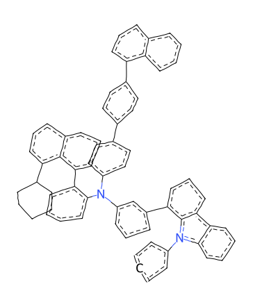 c1ccc(-n2c3ccccc3c3cccc(-c4cccc(N(c5ccc(-c6ccc(-c7cccc8ccccc78)cc6)cc5)c5ccccc5-c5cccc6cccc(C7CCCCC7)c56)c4)c32)cc1